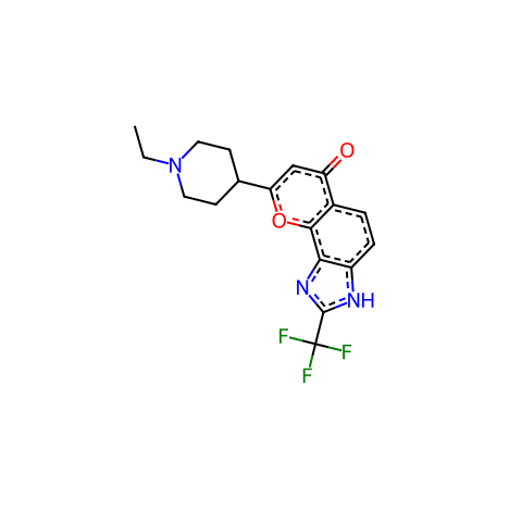 CCN1CCC(c2cc(=O)c3ccc4[nH]c(C(F)(F)F)nc4c3o2)CC1